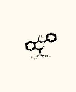 CON(C)C(=O)c1ccccc1C(C)Sc1ccccc1